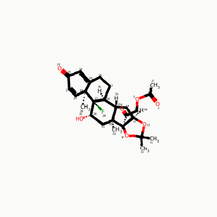 CC(=O)OCC(=O)[C@@]12OC(C)(C)O[C@@H]1C[C@H]1[C@@H]3CCC4=CC(=O)C=C[C@]4(C)[C@@]3(F)[C@@H](O)C[C@@]12C